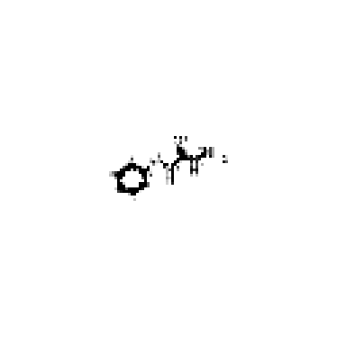 NNC(=O)N[Se]c1ccccc1